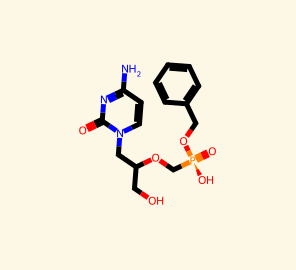 Nc1ccn(CC(CO)OC[P@](=O)(O)OCc2ccccc2)c(=O)n1